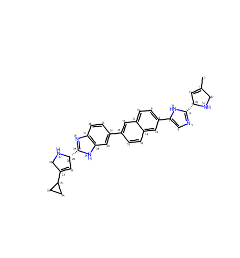 CC1=C[C@@H](c2ncc(-c3ccc4cc(-c5ccc6nc([C@@H]7C=C(C8CC8)CN7)[nH]c6c5)ccc4c3)[nH]2)NC1